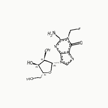 Nc1nc2c(ncn2[C@@H]2O[C@H](CO)[C@@H](O)[C@H]2O)c(=O)n1CF